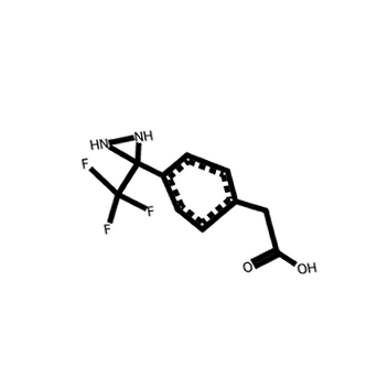 O=C(O)Cc1ccc(C2(C(F)(F)F)NN2)cc1